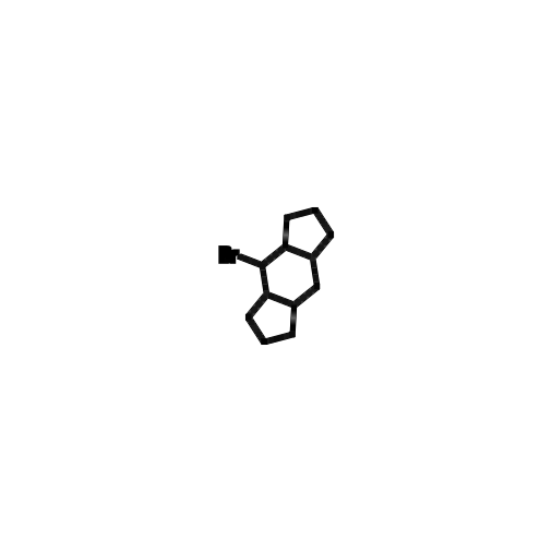 BrC1C2CCCC2CC2CCCC21